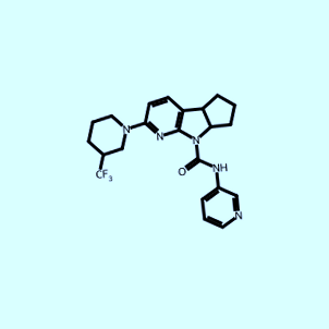 O=C(Nc1cccnc1)N1c2nc(N3CCCC(C(F)(F)F)C3)ccc2C2CCCC21